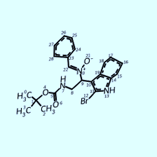 CC(C)(C)OC(=O)NCC(c1c(Br)[nH]c2ccccc12)/[N+]([O-])=C/c1ccccc1